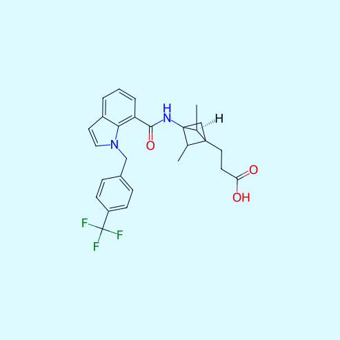 CC1C2(CCC(=O)O)CC1(NC(=O)c1cccc3ccn(Cc4ccc(C(F)(F)F)cc4)c13)[C@H]2C